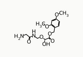 COc1ccc(COC(=O)[C@@H](O)OCNC(=O)CN)c(OC)c1